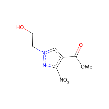 COC(=O)c1cn(CCO)nc1[N+](=O)[O-]